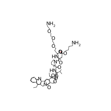 CCc1c2c(nc3ccccc13)-c1cc3c(c(=O)n1C2)COC(=O)[C@@]3(CC)OC(=O)[C@@H](NC(=O)[C@@H]1CCCN1C(=O)[C@H](CC(=O)OCCCCN)NC(=O)CCOCCOCCOCCN)C(C)C